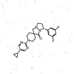 O=C1N2[C@H](c3cc(F)cc(F)c3)CCN2CC12CCN(c1ncc(C3CC3)cn1)CC2